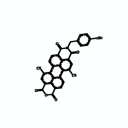 [C-]#[N+]c1cc2c3c(ccc4c5c(C#N)cc6c7c(ccc(c1c34)c75)C(=O)N(Cc1ccc(CCCC)cc1)C6=O)C(=O)OC2=O